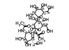 CC(=O)N[C@@H]1[C@H](O[C@]2(NC(C)=O)C[C@](O)([C@@H]3O[C@H](CO)[C@H](O)[C@H](O)[C@H]3O)[C@H](O)[C@@H](CO)O2)O[C@H](CO)[C@@H](O)[C@@H]1O